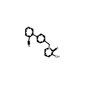 N#Cc1ccccc1-c1ccc(Cn2cccc(O)c2=S)cc1